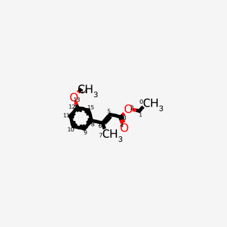 CCOC(=O)C=C(C)c1cccc(OC)c1